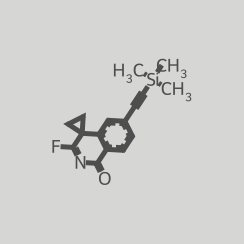 C[Si](C)(C)C#Cc1ccc2c(c1)C1(CC1)C(F)=NC2=O